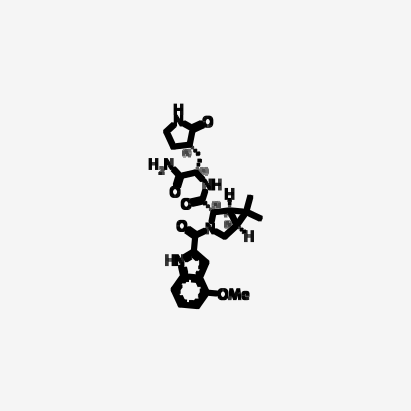 COc1cccc2[nH]c(C(=O)N3C[C@H]4[C@@H]([C@H]3C(=O)N[C@@H](C[C@@H]3CCNC3=O)C(N)=O)C4(C)C)cc12